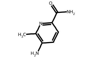 Cc1nc(C(N)=O)ccc1N